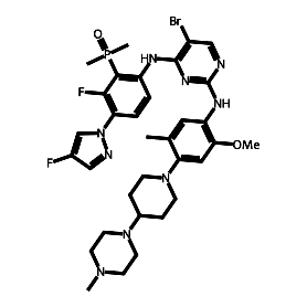 COc1cc(N2CCC(N3CCN(C)CC3)CC2)c(C)cc1Nc1ncc(Br)c(Nc2ccc(-n3cc(F)cn3)c(F)c2P(C)(C)=O)n1